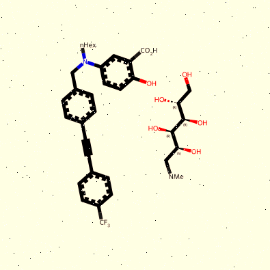 CCCCCCN(Cc1ccc(C#Cc2ccc(C(F)(F)F)cc2)cc1)c1ccc(O)c(C(=O)O)c1.CNC[C@H](O)[C@@H](O)[C@H](O)[C@H](O)CO